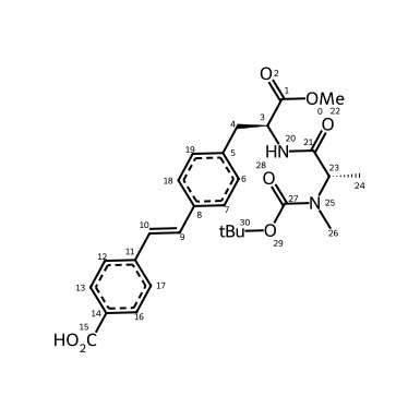 COC(=O)[C@H](Cc1ccc(C=Cc2ccc(C(=O)O)cc2)cc1)NC(=O)[C@H](C)N(C)C(=O)OC(C)(C)C